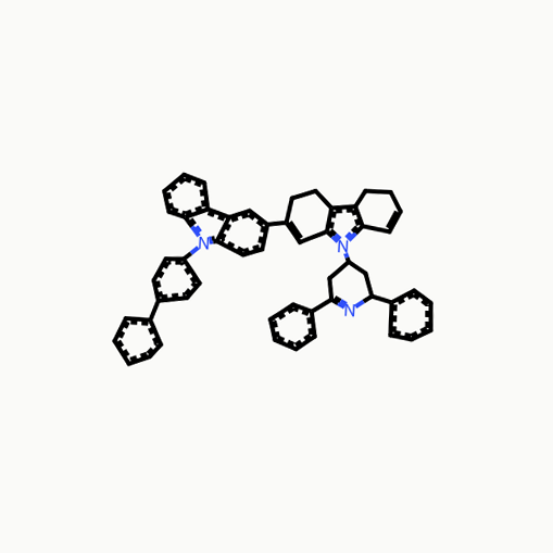 C1=Cc2c(c3c(n2C2CC(c4ccccc4)=NC(c4ccccc4)C2)C=C(c2ccc4c(c2)c2ccccc2n4-c2ccc(-c4ccccc4)cc2)CC3)CC1